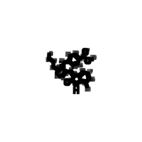 CCCCc1ncc(C=C2C(=O)Nc3c(C)cccc32)n1Cc1ccc(C(=O)OC)cc1